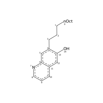 CCCCCCCCCCCc1cc2ncccc2cc1O